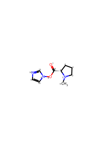 CN1CCC[C@H]1C(=O)On1ccnc1